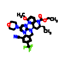 CCOC(=O)N1c2ccc(OC)nc2[C@@H](N(Cc2cc(C#N)cc(C(F)(F)F)c2)c2ncc(N3CCOCC3)cn2)C[C@H]1CC